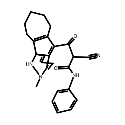 CN1NC23C=CC=C1C2=C(C(=O)C(C#N)C(=O)Nc1ccccc1)C1=C3CCCCC1